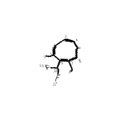 CC1=C/C=C\CC/C(C)=C\1C(F)F